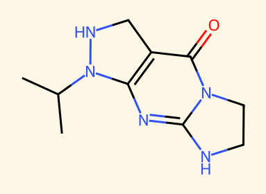 CC(C)N1NCc2c1nc1n(c2=O)CCN1